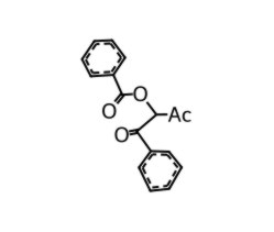 CC(=O)C(OC(=O)c1ccccc1)C(=O)c1ccccc1